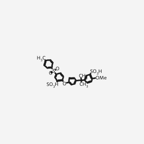 COc1ccc(C(C)(C)c2ccc(Oc3ccc(S(=O)(=O)c4ccc(C)cc4)cc3S(=O)(=O)O)cc2)cc1S(=O)(=O)O